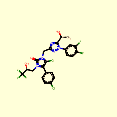 C[C@H](O)c1nc(Cn2c(Cl)c(-c3ccc(Cl)cc3)n(C[C@H](O)C(F)(F)F)c2=O)nn1-c1ccc(F)c(F)c1